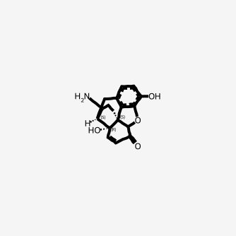 NC1CC[C@]23c4c5ccc(O)c4OC2C(=O)C=C[C@@]3(O)[C@H]1C5